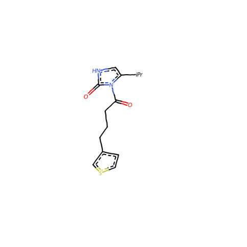 CC(C)c1c[nH]c(=O)n1C(=O)CCCc1ccsc1